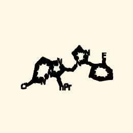 CCCc1c(Cn2ccnc2-c2ccccc2F)nc2ccc(Cl)nn12